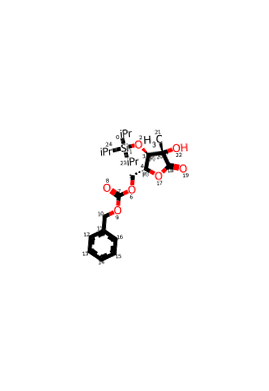 CC(C)[Si](O[C@@H]1[C@@H](COC(=O)OCc2ccccc2)OC(=O)[C@@]1(C)O)(C(C)C)C(C)C